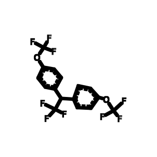 FC(F)(F)Oc1ccc(C(c2ccc(OC(F)(F)F)cc2)C(F)(F)F)cc1